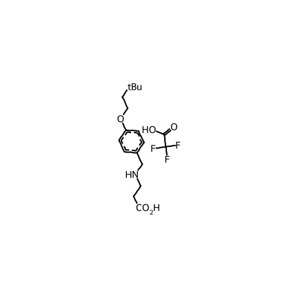 CC(C)(C)CCOc1ccc(CNCCC(=O)O)cc1.O=C(O)C(F)(F)F